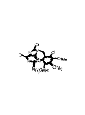 COc1c(Cl)c(Cn2c(Cl)nc3c(Cl)nc(N)nc32)c(Cl)c(OC)c1OC